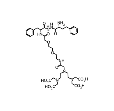 N[C@H](CCc1ccccc1)C(=O)NNC(=O)C(Cc1ccccc1)NC(=O)COCCOCCNC(=O)CN(CCN(CC(=O)O)CC(=O)O)CCN(CC(=O)O)CC(=O)O